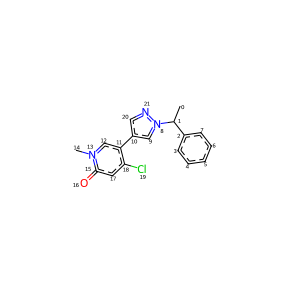 CC(c1ccccc1)n1cc(-c2cn(C)c(=O)cc2Cl)cn1